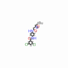 CC(C)(C)c1cc(CC(=O)Nc2ccc(NC(=O)c3cc(Cl)cc(Cl)c3)cc2)no1